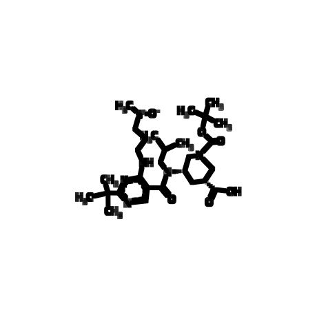 CC(C)CN(C(=O)c1cnc(C(C)(C)C)nc1NCCC[S+](C)[O-])[C@H]1C[C@@H](C(=O)O)CN(C(=O)OC(C)(C)C)C1